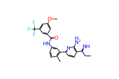 CCC(=N)c1ccc(-c2cc(NC(=O)c3cc(OC)cc(C(F)(F)F)c3)ccc2C)nc1N